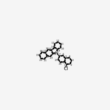 Clc1cccc2cc(-n3c4ccccc4c4cc5ccccc5cc43)ccc12